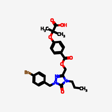 CCCn1c(COC(=O)c2ccc(OC(C)(C)C(=O)O)cc2)nn(Cc2ccc(Br)cc2)c1=O